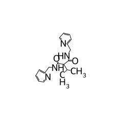 CC(C)C(C(=O)NCc1ccccn1)C(=O)NCc1ccccn1